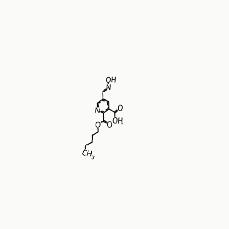 CCCCCOC(=O)c1ncc(C=NO)cc1C(=O)O